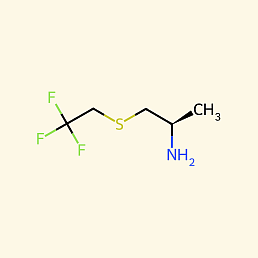 C[C@@H](N)CSCC(F)(F)F